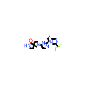 O=C1NCCC12CCN(c1ccnc(-c3cnc4cnc(C(F)F)cn34)n1)C2